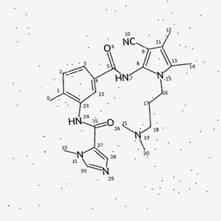 Cc1ccc(C(=O)Nc2c(C#N)c(C)c(C)n2CCCN(C)C)cc1NC(=O)c1cncn1C